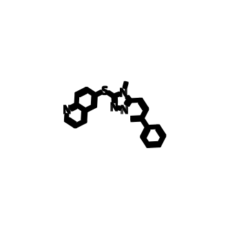 C=C(/C=C\c1nnc(Sc2ccc3ncccc3c2)n1C)c1ccccc1